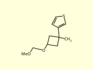 COCOC1CC(C)(c2ccsc2)C1